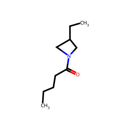 CCCCC(=O)N1CC(CC)C1